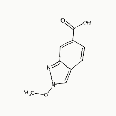 COn1cc2ccc(C(=O)O)cc2n1